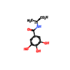 C[C@H](NC(=O)c1cc(O)c(O)c(O)c1)C(=O)O